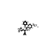 CS(=O)(=O)/C=C/C(NC(=O)N1CC[C@@H](CC(F)(F)F)C[C@H]1c1ccccc1)C1CC1